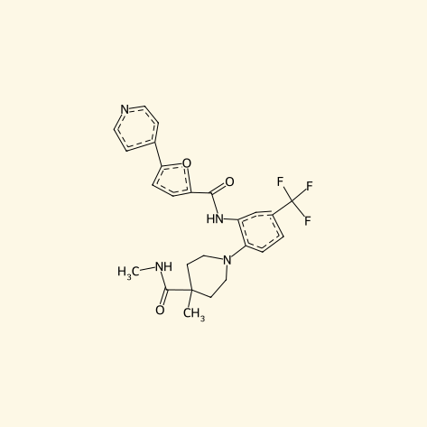 CNC(=O)C1(C)CCN(c2ccc(C(F)(F)F)cc2NC(=O)c2ccc(-c3ccncc3)o2)CC1